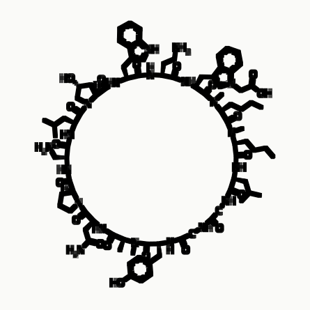 CCCC[C@H]1C(=O)N(C)[C@@H](CCCC)C(=O)N[C@@H](CC(C)C)C(=O)NCC(=O)NCC(=O)N[C@@H](Cc2ccc(O)cc2)C(=O)N(C)[C@@H](C)C(=O)N[C@@H](CC(N)=O)C(=O)N2CCC[C@H]2C(=O)N[C@@H](CN)C(=O)N[C@@H](CC(C)C)C(=O)N2C[C@H](O)C[C@H]2C(=O)N[C@@H](Cc2c[nH]c3ccccc23)C(=O)N[C@@H](CCN)C(=O)N[C@@H](Cc2cn(CC(=O)O)c3ccccc23)C(=O)N1C